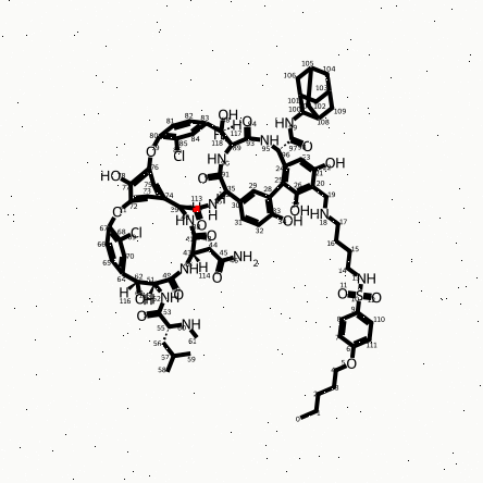 CCCCCOc1ccc(S(=O)(=O)NCCCCNCc2c(O)cc3c(c2O)-c2cc(ccc2O)[C@H]2NC(=O)[C@@H]4NC(=O)[C@H](CC(N)=O)NC(=O)[C@H](NC(=O)[C@@H](CC(C)C)NC)[C@H](O)c5ccc(c(Cl)c5)Oc5cc4cc(c5O)Oc4ccc(cc4Cl)[C@@H](O)[C@H](NC2=O)C(=O)N[C@@H]3C(=O)NC2C3CC4CC(C3)CC2C4)cc1